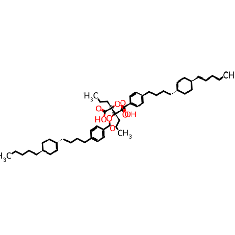 CCCCC[C@H]1CC[C@H](CCCCc2ccc(C(=O)O[C@@](CCC)(C(=O)O)[C@@](CCC)(OC(=O)c3ccc(CCCC[C@H]4CC[C@H](CCCCC)CC4)cc3)C(=O)O)cc2)CC1